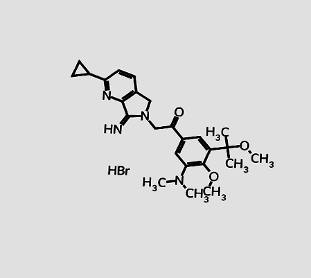 Br.COc1c(N(C)C)cc(C(=O)CN2Cc3ccc(C4CC4)nc3C2=N)cc1C(C)(C)OC